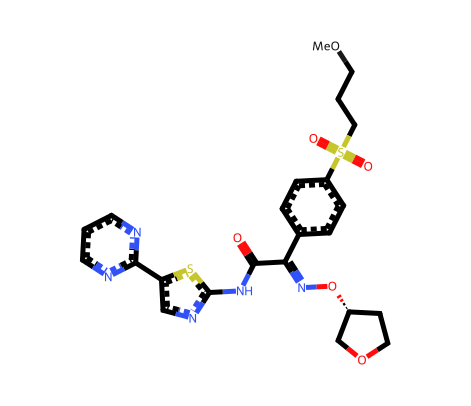 COCCCS(=O)(=O)c1ccc(/C(=N\O[C@@H]2CCOC2)C(=O)Nc2ncc(-c3ncccn3)s2)cc1